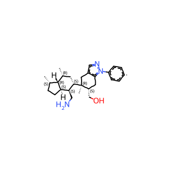 C[C@@H]1C[C@H]([C@@]2(C)Cc3cnn(-c4cc[c]cc4)c3C[C@@H]2CO)[C@@H](CN)[C@H]2CC[C@H](C)[C@@H]21